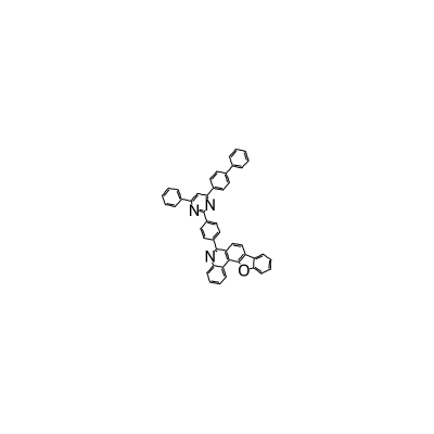 c1ccc(-c2ccc(-c3cc(-c4ccccc4)nc(-c4ccc(-c5nc6ccccc6c6c5ccc5c7ccccc7oc56)cc4)n3)cc2)cc1